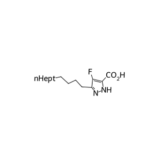 CCCCCCCCCCCc1n[nH]c(C(=O)O)c1F